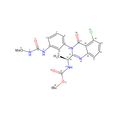 CONC(=O)Nc1cccc(-n2c([C@H](C)NC(=O)OC(C)(C)C)nc3cccc(Cl)c3c2=O)c1